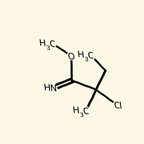 CCC(C)(Cl)C(=N)OC